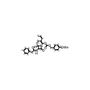 C/C=C\C1=C(OC(=O)OCc2ccc(OC)cc2)N2C(=O)C(NC(=O)Cc3ccccc3)[C@@H]2SC1